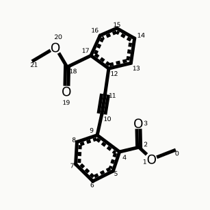 COC(=O)c1ccccc1C#Cc1ccccc1C(=O)OC